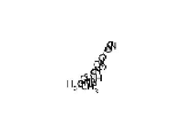 CC(C)(C)NC(=S)Nc1ccc(OC(=O)N2CCC(COn3cccn3)CC2)nc1